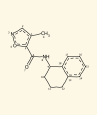 Cc1cnoc1C(=O)NC1CCCc2ccccc21